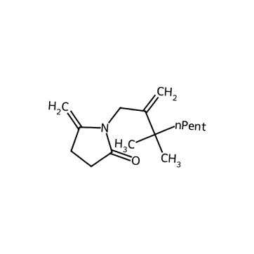 C=C1CCC(=O)N1CC(=C)C(C)(C)CCCCC